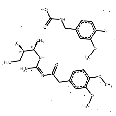 CC[C@@H](C)[C@@H](C)NC(N)=NC(=O)Cc1ccc(OC)c(OC)c1.COc1cc(CNC(=O)O)ccc1F